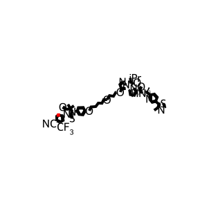 Cc1ncsc1-c1ccc([C@H](C)NC(=O)[C@@H]2CCCN2C(=O)C(C(C)C)n2cc(OCCCOCCCCCOc3ccc(N4C(=S)N(c5ccc(C#N)c(C(F)(F)F)c5)C(=O)C4(C)C)cc3)cn2)nc1